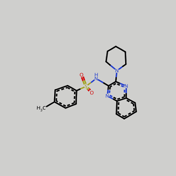 Cc1ccc(S(=O)(=O)Nc2nc3ccccc3nc2N2CCCCC2)cc1